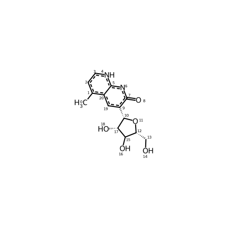 Cc1cc[nH]c2nc(=O)c([C@@H]3O[C@H](CO)C(O)[C@@H]3O)cc1-2